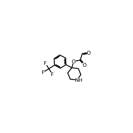 O=CC(=O)OC1(c2cccc(C(F)(F)F)c2)CCNCC1